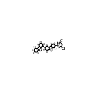 Clc1nc(Cl)nc(-c2ccc3c(c2)oc2ccc(-c4cccc5c4oc4ccccc45)cc23)n1